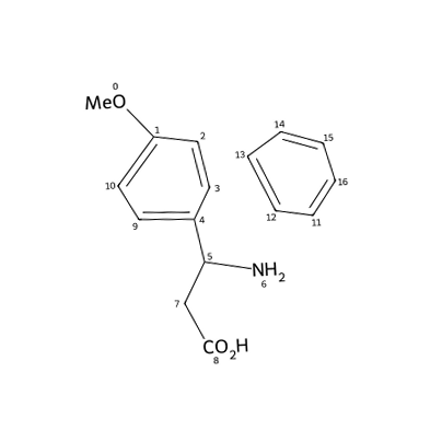 COc1ccc(C(N)CC(=O)O)cc1.c1ccccc1